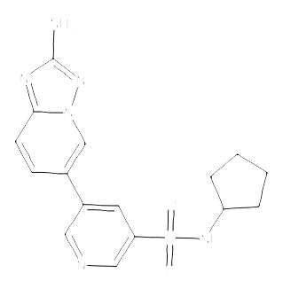 Nc1nc2ccc(-c3cncc(S(=O)(=O)NC4CCCC4)c3)cn2n1